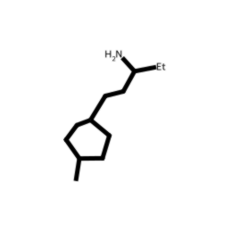 CCC(N)CCC1CCC(C)CC1